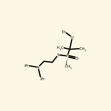 CCOC(C)(C)[P@@](C)(=O)SCCN(C(C)C)C(C)C